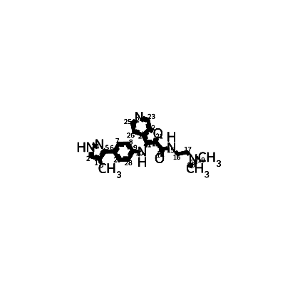 Cc1c[nH]nc1-c1ccc(Nc2c(C(=O)NCCN(C)C)oc3cnccc23)cc1